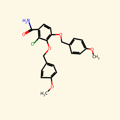 COc1ccc(COc2ccc(C(N)=O)c(Cl)c2OCc2ccc(OC)cc2)cc1